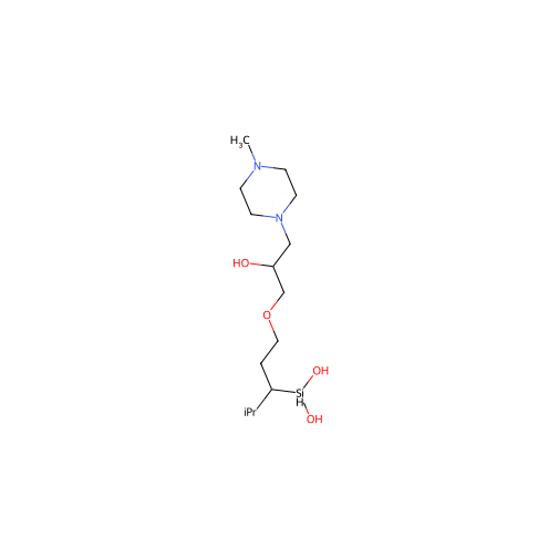 CC(C)C(CCOCC(O)CN1CCN(C)CC1)[SiH](O)O